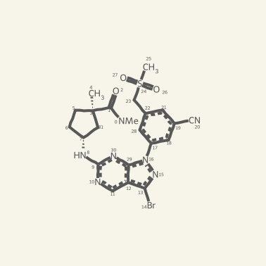 CNC(=O)[C@]1(C)CC[C@@H](Nc2ncc3c(Br)nn(-c4cc(C#N)cc(CS(C)(=O)=O)c4)c3n2)C1